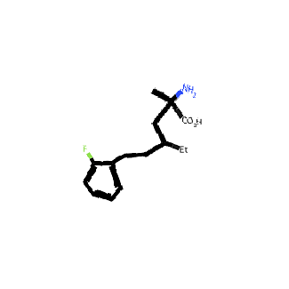 CCC(CCc1ccccc1F)CC(C)(N)C(=O)O